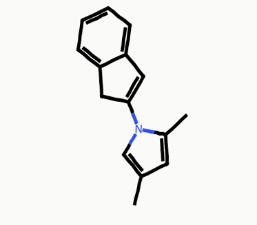 Cc1cc(C)n(C2=Cc3ccccc3C2)c1